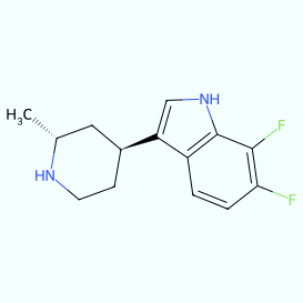 C[C@@H]1C[C@@H](c2c[nH]c3c(F)c(F)ccc23)CCN1